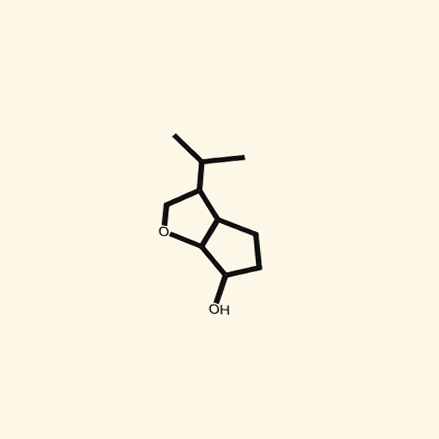 CC(C)C1COC2C(O)CCC12